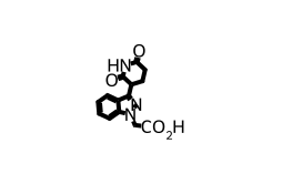 O=C(O)Cn1nc(C2CCC(=O)NC2=O)c2ccccc21